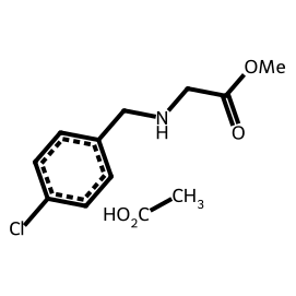 CC(=O)O.COC(=O)CNCc1ccc(Cl)cc1